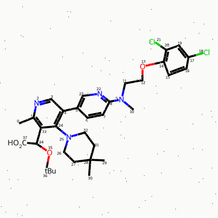 Cc1ncc(-c2ccc(N(C)CCOc3ccc(Cl)cc3Cl)nc2)c(N2CCC(C)(C)CC2)c1C(OC(C)(C)C)C(=O)O